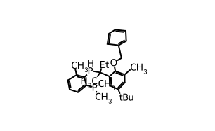 CCC(C)(Pc1c(C)cccc1P(C)C)c1cc(C(C)(C)C)cc(C)c1OCc1ccccc1